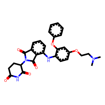 CN(C)CCOc1ccc(Nc2cccc3c2C(=O)N(C2CCC(=O)NC2=O)C3=O)c(Oc2ccccc2)c1